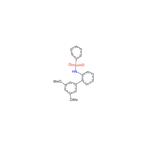 COc1cc(OC)cc(-c2ccccc2NS(=O)(=O)c2ccccc2)c1